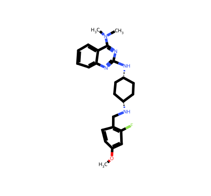 COc1ccc(CN[C@H]2CC[C@@H](Nc3nc(N(C)C)c4ccccc4n3)CC2)c(F)c1